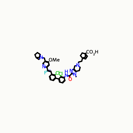 COc1cc(/C(F)=C/c2cccc(-c3cccc(NC(=O)c4nc5c(n4C)CCN(CCC46CCC(C(=O)O)(CC4)C6)C5)c3Cl)c2Cl)ncc1CN1CC2CCC1C2